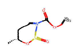 C[C@@H]1CCN(C(=O)OC(C)(C)C)S(=O)O1